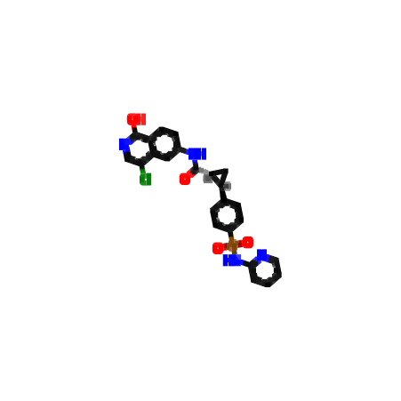 O=C(Nc1ccc2c(O)ncc(Cl)c2c1)[C@@H]1C[C@H]1c1ccc(S(=O)(=O)Nc2ccccn2)cc1